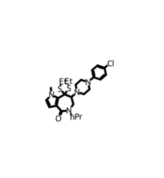 CCCN1CC(N2CCN(c3ccc(Cl)cc3)CC2)C(SCC)(SCC)c2c(ccn2C)C1=O